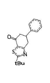 CC(C)(C)c1nc2c(s1)C(=O)CC(c1ccccc1)C2